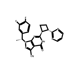 C[C@H](c1ccc(F)c(F)c1)n1nc(C#N)c2c(=O)[nH]c([C@H]3CC[C@@H]3c3ncccn3)nc21